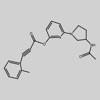 CC(=O)NC1CCN(c2cccc(OC(=O)C#Cc3ccccc3C)n2)C1